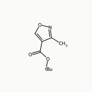 Cc1nocc1C(=O)OC(C)(C)C